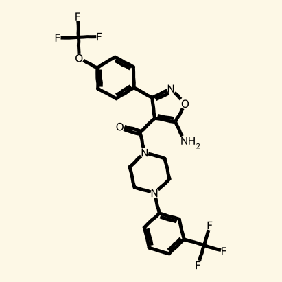 Nc1onc(-c2ccc(OC(F)(F)F)cc2)c1C(=O)N1CCN(c2cccc(C(F)(F)F)c2)CC1